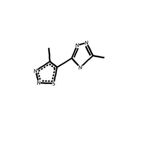 CC1=NN=C(c2snnc2C)[N]1